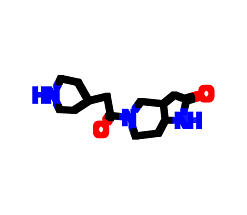 O=C1CC2CN(C(=O)CC3CCNCC3)CCC2N1